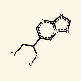 CCC(SC)c1cnc2ncnn2c1